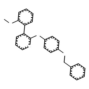 COc1ccccc1-c1cccnc1Oc1ccc(OCc2ccccc2)cc1